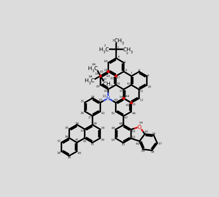 CC(C)(C)c1cc(-c2cccc3cccc(-c4ccccc4N(c4cccc(-c5cccc6c5ccc5ccccc56)c4)c4cccc(-c5cccc6c5oc5ccccc56)c4)c23)cc(C(C)(C)C)c1